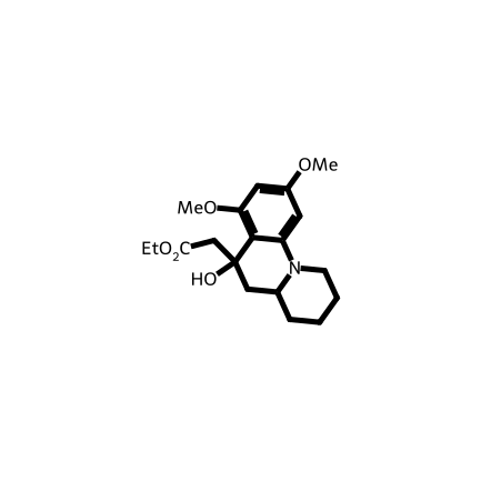 CCOC(=O)CC1(O)CC2CCCCN2c2cc(OC)cc(OC)c21